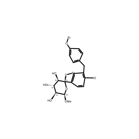 CCOc1ccc(Cc2cc([C@]3(OCC)O[C@@H](OC)[C@@H](O)[C@H](O)[C@H]3O)ccc2Cl)cc1